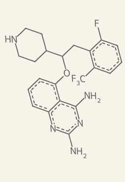 Nc1nc(N)c2c(OC(Cc3c(F)cccc3C(F)(F)F)C3CCNCC3)cccc2n1